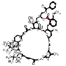 C=C1C[C@@H]2CCC(=O)/C=C/C(O[Si](C)(C)C(C)(C)C)CC(O[Si](C)(C)C(C)(C)C)[C@@H](O)[C@H]3O[C@H](CC[C@@H]3OC)CC(=O)CC3[C@H](CC4OC(CCC1O2)CC(C)=C4COC(=O)COC)O[C@H](C[C@@H](COC(=O)c1ccccc1)OC(=O)c1ccccc1)[C@@H]3OC